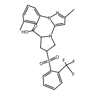 Cc1cccc(-n2nc(C)cc2N2CC(S(=O)(=O)c3ccccc3C(F)(F)F)CC2C(=O)O)c1